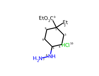 CCOC(=O)C1(CC)CCC(NN)CC1.Cl